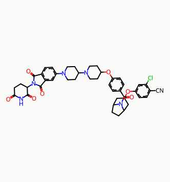 N#Cc1ccc(OC2CC3CCC(C2)N3C(=O)c2ccc(OC3CCN(C4CCN(c5ccc6c(c5)C(=O)N(C5CCC(=O)NC5=O)C6=O)CC4)CC3)cc2)cc1Cl